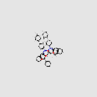 CC(C)(C)c1ccc2c(c1)C1(c3cc(N(c4ccccc4)c4ccc(-c5ccccc5)cc4)ccc3-2)c2cc(N(c3cccc(-c4ccccc4)c3)c3ccc4c(c3)C(C)(C)c3ccccc3-4)ccc2-c2ccc(C(C)(C)C)cc21